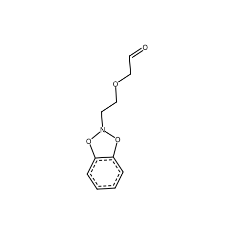 O=CCOCCN1Oc2ccccc2O1